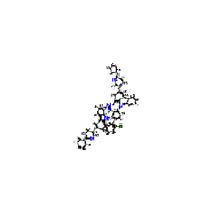 N#Cc1c(-n2c3ccccc3c3cc(-c4ccc(-c5ccccc5)nc4)ccc32)ccc(-c2c(F)cccc2F)c1-n1c2ccccc2c2cc(-c3ccc(-c4ccccc4)nc3)ccc21